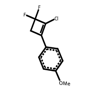 COc1ccc(C2=C(Cl)C(F)(F)C2)cc1